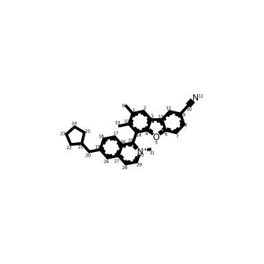 Cc1cc2c(oc3ccc(C#N)cc32)c(-c2c3ccc(CC4CCCC4)cc3cc[n+]2C)c1C